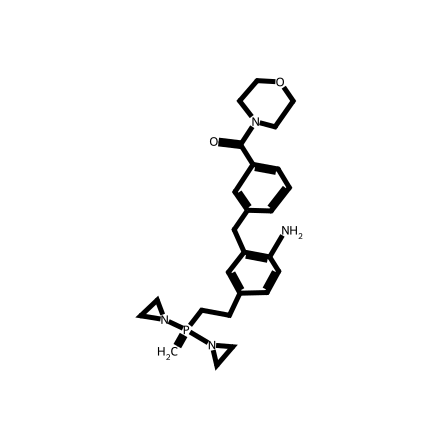 C=P(CCc1ccc(N)c(Cc2cccc(C(=O)N3CCOCC3)c2)c1)(N1CC1)N1CC1